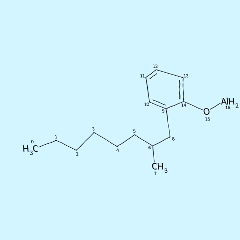 CCCCCCC(C)Cc1ccccc1[O][AlH2]